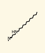 CCCCCCCCCC[CH]CNCCC=NC